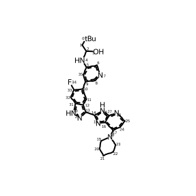 CC(C)(C)CC(O)Nc1cncc(-c2cc3c(-c4nc5c(N6CCCCC6)ccnc5[nH]4)n[nH]c3cc2F)c1